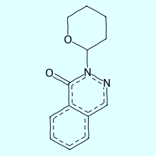 O=c1c2ccccc2cnn1C1CCCCO1